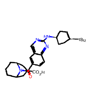 CC(C)(C)[C@H]1CC[C@@H](Nc2ncc3cc(C(=O)N4C5CCCC4CC(C(=O)O)C5)ccc3n2)CC1